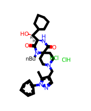 CCCCN1C(=O)[C@@H]([C@H](O)C2CCCCC2)NC(=O)C12CCN(Cc1cnn(-c3ccccc3)c1C)CC2.Cl.Cl